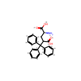 N[C@@H](CC(C(=O)O)C(c1ccccc1)(c1ccccc1)c1ccccc1)C(=O)O